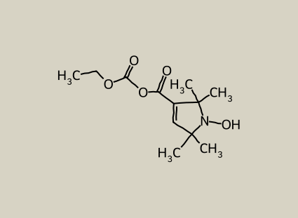 CCOC(=O)OC(=O)C1=CC(C)(C)N(O)C1(C)C